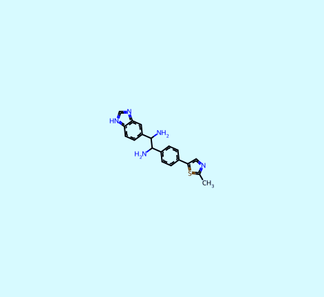 Cc1ncc(-c2ccc(C(N)C(N)c3ccc4[nH]cnc4c3)cc2)s1